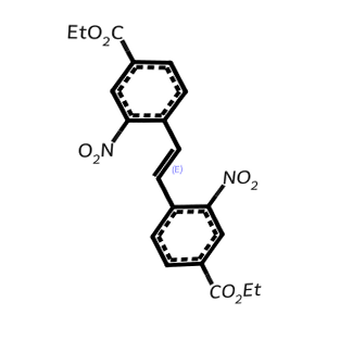 CCOC(=O)c1ccc(/C=C/c2ccc(C(=O)OCC)cc2[N+](=O)[O-])c([N+](=O)[O-])c1